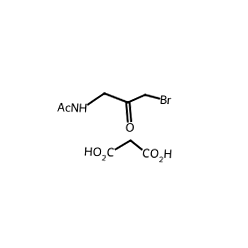 CC(=O)NCC(=O)CBr.O=C(O)CC(=O)O